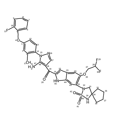 Cc1cc(Oc2ccccc2F)ccc1-n1ncc(C(=O)c2cc3cc(OCC(F)F)c(N4CC5(CCCC5)NS4(=O)=O)cc3[nH]2)c1N